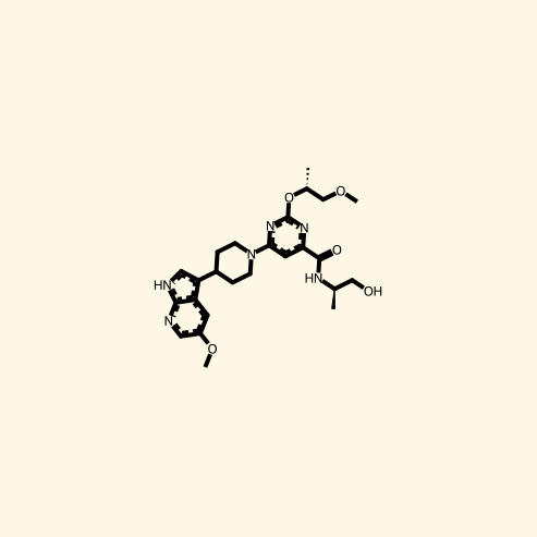 COC[C@@H](C)Oc1nc(C(=O)N[C@H](C)CO)cc(N2CCC(c3c[nH]c4ncc(OC)cc34)CC2)n1